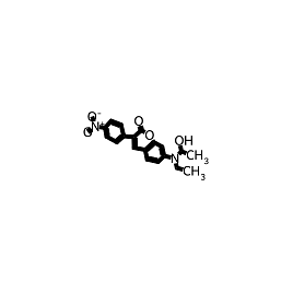 CCN(c1ccc2cc(-c3ccc([N+](=O)[O-])cc3)c(=O)oc2c1)C(C)O